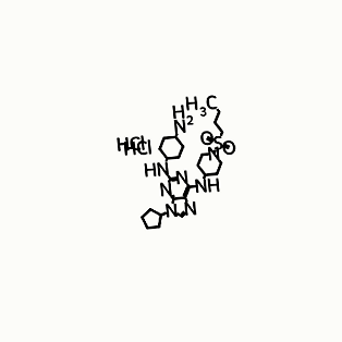 CCCCS(=O)(=O)N1CCC(Nc2nc(N[C@H]3CC[C@H](N)CC3)nc3c2ncn3C2CCCC2)CC1.Cl.Cl